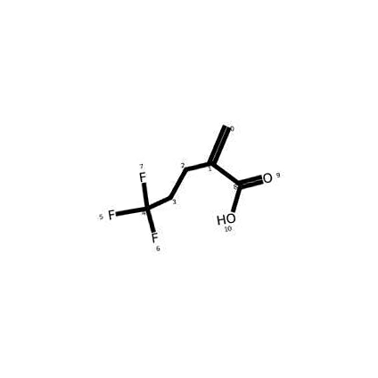 C=C(CCC(F)(F)F)C(=O)O